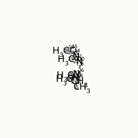 CCCc1cc(CCCN2CCN(c3cccc(C)c3)C(C)C2)nn1C(C)(C)C